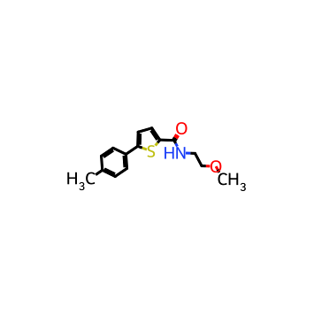 COCCNC(=O)c1ccc(-c2ccc(C)cc2)s1